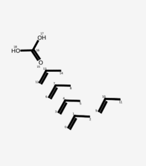 C=CC.C=CC.C=CC.C=CC.C=CC.O=C(O)O